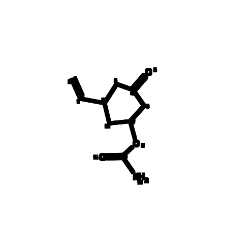 C=CC1CC(=O)CC(OC(N)=O)C1